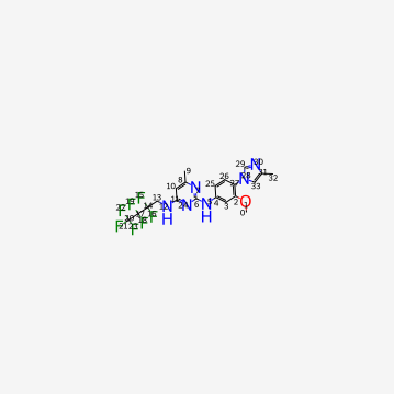 COc1cc(Nc2nc(C)cc(NCC(F)(F)C(F)(F)C(F)(F)F)n2)ccc1-n1cnc(C)c1